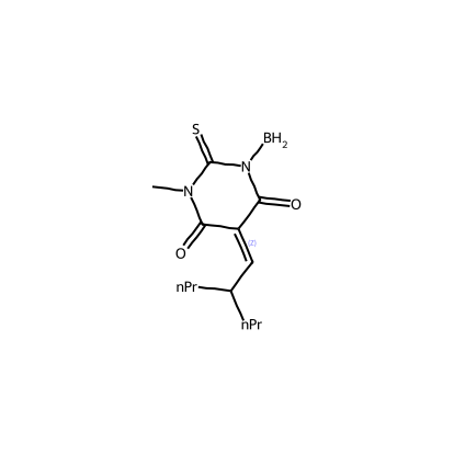 BN1C(=O)/C(=C/C(CCC)CCC)C(=O)N(C)C1=S